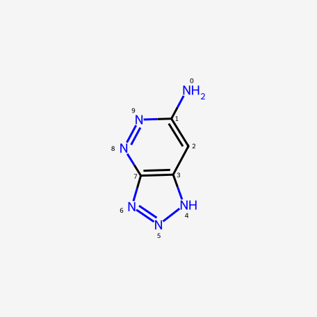 Nc1cc2[nH]nnc2nn1